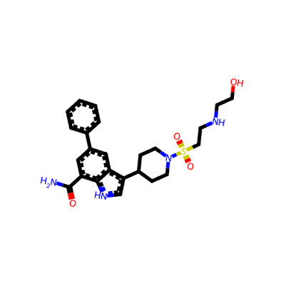 NC(=O)c1cc(-c2ccccc2)cc2c(C3CCN(S(=O)(=O)CCNCCO)CC3)c[nH]c12